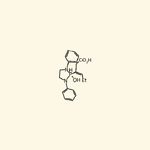 CC/C=C(/CC(=O)O)[PH]1(O)N(c2ccccc2)CCN1c1ccccc1